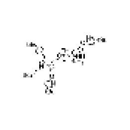 CC(C)(C)CCCN1CC(CN2CCN(C(C)(C)C)CC2)C1C1C(COc2cnc(C(C)(C)C)cn2)CN1CCOC(C)(C)CCC(C)(C)N[C@H]1C[C@H](Oc2ccc(C(C)(C)C)cn2)C1